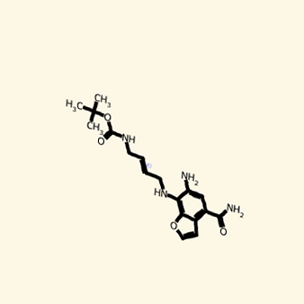 CC(C)(C)OC(=O)NC/C=C/CNc1c(N)cc(C(N)=O)c2ccoc12